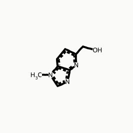 Cn1cnc2nc(CO)ccc21